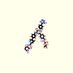 Cc1cc(C(=O)NC2CCCNC2=O)ncc1-c1ccc(C[C@H](NC(=O)C2CCC(CNC(=O)OC(C)(C)C)CC2)C(=O)Nc2ccc(-c3nnn[nH]3)cc2)cc1